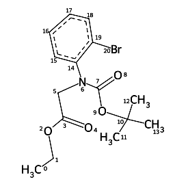 CCOC(=O)CN(C(=O)OC(C)(C)C)c1ccccc1Br